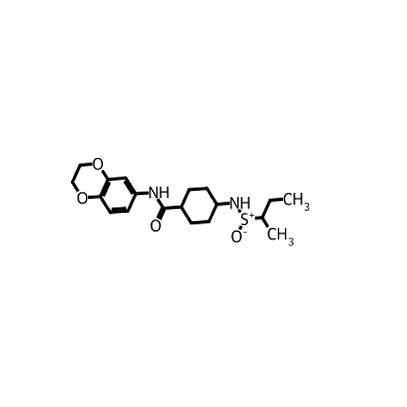 CCC(C)[S+]([O-])NC1CCC(C(=O)Nc2ccc3c(c2)OCCO3)CC1